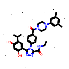 CCNC(=O)c1nnc(-c2cc(C(C)C)c(O)cc2O)n1-c1ccc(C(=O)N2CCN(c3cc(C)[c]c(C)c3)CC2)cc1